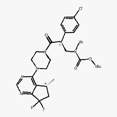 CC(C)N(C[C@@H](C(=O)N1CCN(c2ncnc3c2[C@H](C)CC3(F)F)CC1)c1ccc(Cl)cc1)C(=O)OC(C)(C)C